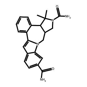 CC1(C)C2c3ccccc3-c3cc4ccc(C(N)=O)cc4n3CC2CN1C(N)=O